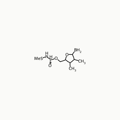 BC1OC(CO[PH](=O)NSC)C(C)C1C